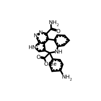 COC(=O)C1(c2ccc(N)cc2)Nc2ccccc2-c2c(C(N)=O)nnc3[nH]cc1c23